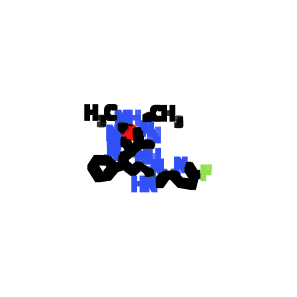 CCn1cc(C2(c3nnc(NC)o3)N[C@@H](c3nc(-c4ccc(F)cn4)c[nH]3)Cc3c2[nH]c2ccccc32)cn1